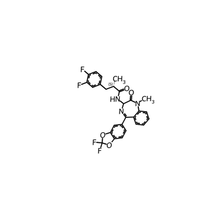 C[C@@H](Cc1ccc(F)c(F)c1)C(=O)NC1N=C(c2ccc3c(c2)OC(F)(F)O3)c2ccccc2N(C)C1=O